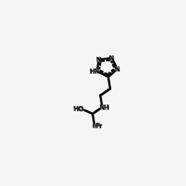 CCCC(O)NCCc1nnn[nH]1